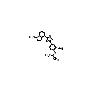 CC(C)Oc1ccc(-c2nc(-c3cccc4c3CCC4N)ns2)cc1C#N